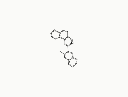 Cc1cc2ccccc2cc1-c1cc2c(ccc3ccccc32)cn1